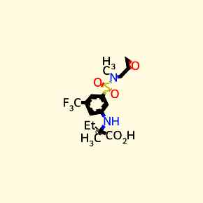 CC[C@](C)(Nc1cc(C(F)(F)F)cc(S(=O)(=O)N(C)CC2CO2)c1)C(=O)O